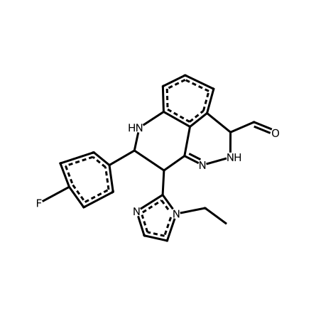 CCn1ccnc1C1C2=NNC(C=O)c3cccc(c32)NC1c1ccc(F)cc1